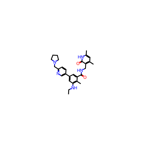 CCNc1cc(-c2ccc(CN3CCCC3)nc2)cc(C(=O)NCc2c(C)cc(C)[nH]c2=O)c1C